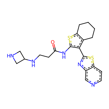 O=C(CCNC1CNC1)Nc1sc2c(c1-c1nc3cnccc3s1)CCCC2